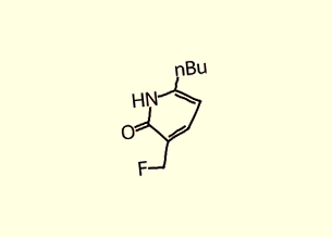 CCCCc1ccc(CF)c(=O)[nH]1